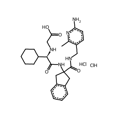 Cc1nc(N)ccc1CNC(=O)C1(NC(=O)[C@H](NCC(=O)O)C2CCCCC2)Cc2ccccc2C1.Cl.Cl